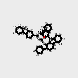 c1ccc(-c2nc(-c3ccc4c(c3)sc3ccccc34)nc(-n3c4ccccc4c4ccc5c6ccccc6n(-c6ccccc6)c5c43)n2)cc1